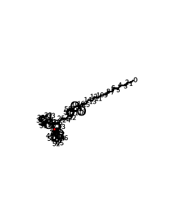 CCC=CCC=CCC=CCCCCCCCC(=O)Oc1ccc(/C=C/c2cc(O[Si](C(C)C)(C(C)C)C(C)C)cc(O[Si](C(C)C)(C(C)C)C(C)C)c2)cc1